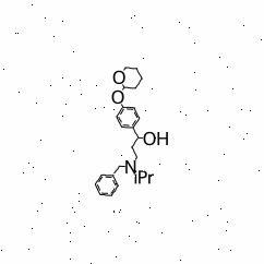 CC(C)N(CCC(O)c1ccc(OC2CCCCO2)cc1)Cc1ccccc1